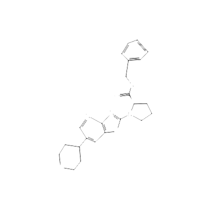 O=C(NCc1ccccc1)[C@H]1CCCN1c1nc2ncc(C3CCOCC3)cc2s1